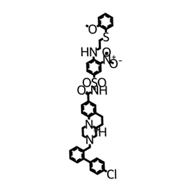 COc1ccccc1SCCNc1ccc(S(=O)(=O)NC(=O)c2ccc3c(c2)CC[C@H]2CN(Cc4ccccc4-c4ccc(Cl)cc4)CCN32)cc1[N+](=O)[O-]